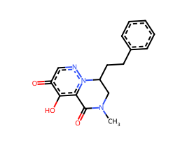 CN1CC(CCc2ccccc2)n2ncc(=O)c(O)c2C1=O